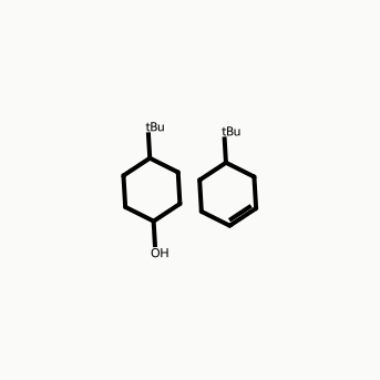 CC(C)(C)C1CC=CCC1.CC(C)(C)C1CCC(O)CC1